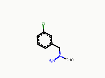 NN(C=O)Cc1cccc(Cl)c1